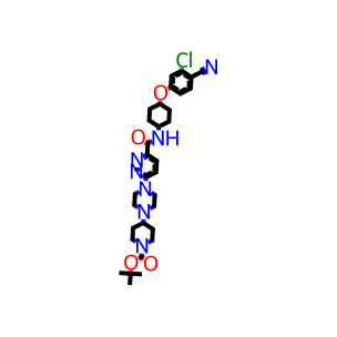 CC(C)(C)OC(=O)N1CCC(N2CCN(c3ccc(C(=O)NC4CCC(Oc5ccc(C#N)c(Cl)c5)CC4)nn3)CC2)CC1